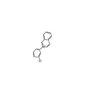 Clc1cccc(-[n+]2ccc3ccccc3c2)c1